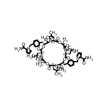 CC(C)C[C@H]1C(=O)O[C@H](Cc2ccc(Cn3cccc3C(N)=O)cc2)C(=O)N(C)[C@@H](CC(C)C)C(=O)O[C@H](C)C(=O)N(C)[C@@H](CC(C)C)C(=O)O[C@H](Cc2ccc(Cn3cccc3C(N)=O)cc2)C(=O)N(C)[C@@H](CC(C)C)C(=O)O[C@H](C)C(=O)N1C